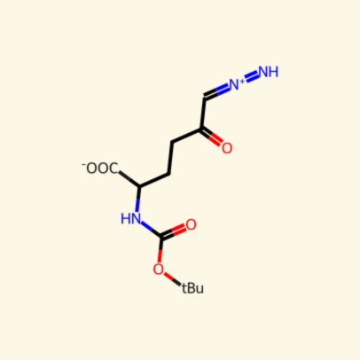 CC(C)(C)OC(=O)NC(CCC(=O)C=[N+]=N)C(=O)[O-]